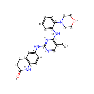 O=C1CCc2cc(Nc3ncc(C(F)(F)F)c(Nc4ccccc4N4CCOCC4)n3)ccc2N1